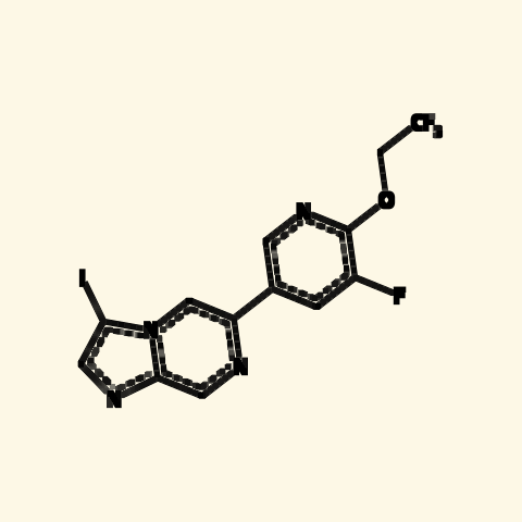 Fc1cc(-c2cn3c(I)cnc3cn2)cnc1OCC(F)(F)F